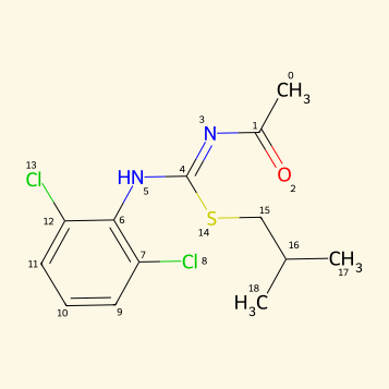 CC(=O)/N=C(/Nc1c(Cl)cccc1Cl)SCC(C)C